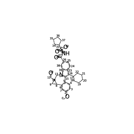 COc1ccc2c(c1)C1CC1(C=O)Cn1c-2c(C2CCCCC2)c2ccc(C(=O)NS(=O)(=O)C3CCCC3)cc21